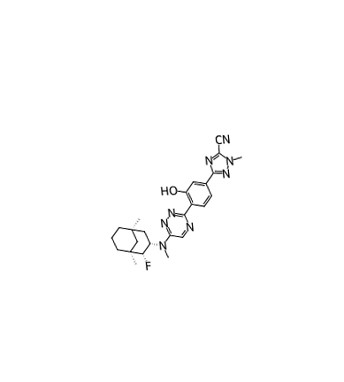 CN(c1cnc(-c2ccc(-c3nc(C#N)n(C)n3)cc2O)nn1)[C@H]1C[C@]2(C)CCC[C@@](C)(C2)[C@H]1F